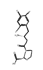 N[C@@H](CC(=O)N1CCS[C@H]1C(=O)O)Cc1cc(F)c(F)cc1F